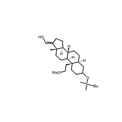 COCC[C@]12CCC(O[Si](C)(C)C(C)(C)C)C[C@@H]1CC[C@@H]1[C@@H]2CC[C@]2(C)/C(=N/O)CC[C@@H]12